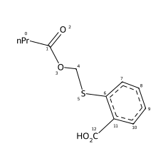 CCCC(=O)OCSc1ccccc1C(=O)O